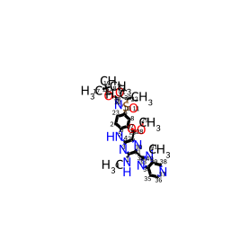 CNc1nc(Nc2ccc(S(=O)(=NC(=O)OC(C)(C)C)C(C)C)cc2)c(C(=O)OC)nc1-c1nc2ccncc2n1C